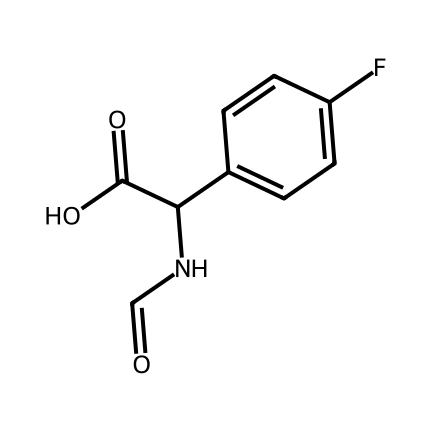 O=CNC(C(=O)O)c1ccc(F)cc1